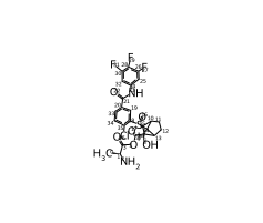 C[C@H](N)C(=O)OC[C@@]1(O)CC2CCC1[C@@H]2S(=O)(=O)c1cc(C(=O)Nc2cc(F)c(F)c(F)c2)ccc1Cl